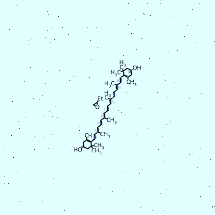 CC1=C(/C=C/C(C)=C/C=C/C(C)=C/C=C/C=C(C)/C=C/C=C(C)/C=C/C2=C(C)C[C@@H](O)CC2(C)C)C(C)(C)C[C@H](O)C1.CCC1CO1